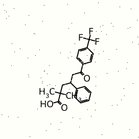 CC(C)(CC(CC(=O)c1ccc(C(F)(F)F)cc1)c1ccccc1)C(=O)O